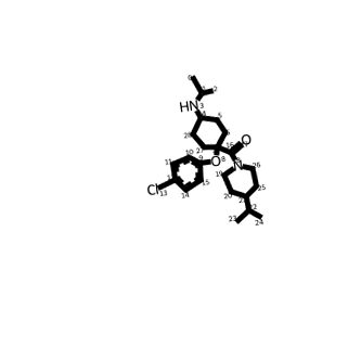 CC(C)NC1CCC(Oc2ccc(Cl)cc2)(C(=O)N2CCC(C(C)C)CC2)CC1